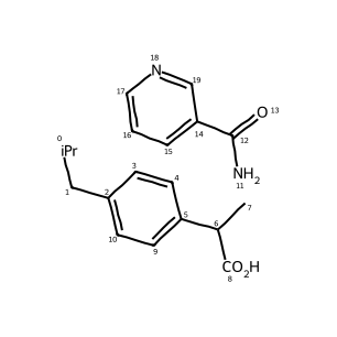 CC(C)Cc1ccc(C(C)C(=O)O)cc1.NC(=O)c1cccnc1